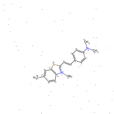 CCCC[n+]1c(C=Cc2ccc(N(C)C)cc2)sc2cc(C)ccc21